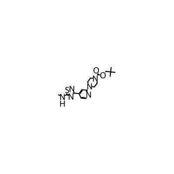 CNc1nc(-c2ccnc(N3CCN(C(=O)OCC(C)(C)C)CC3)c2)ns1